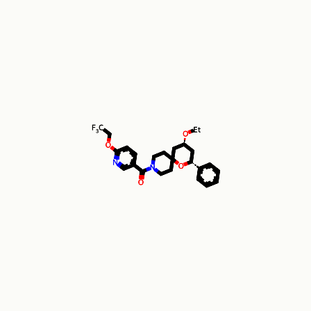 CCO[C@@H]1C[C@H](c2ccccc2)OC2(CCN(C(=O)c3ccc(OCC(F)(F)F)nc3)CC2)C1